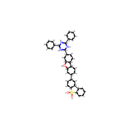 O=S1(=O)c2ccccc2-c2cc(-c3ccc4c(c3)oc3cc(-c5nc(-c6ccccc6)nc(-c6ccccc6)n5)ccc34)ccc21